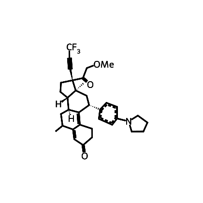 COCC(=O)[C@@]1(C#CC(F)(F)F)CC[C@H]2[C@@H]3CC(C)C4=CC(=O)CCC4=C3[C@@H](c3ccc(N4CCCC4)cc3)C[C@@]21C